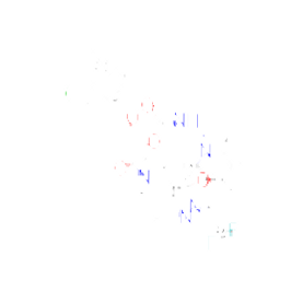 NC(=O)OC(COc1cccc(Cl)c1)C(=O)N1CCC2=NN(CC(F)F)C(=O)[C@]2(Cc2ccccn2)C1